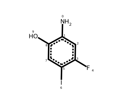 Nc1cc(F)c(I)cc1O